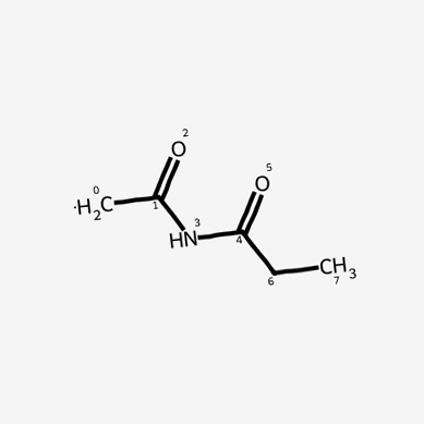 [CH2]C(=O)NC(=O)CC